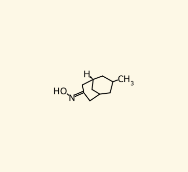 CC1CC2C/C(=N/O)C[C@H](C1)C2